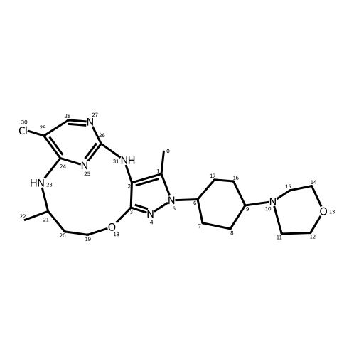 Cc1c2c(nn1C1CCC(N3CCOCC3)CC1)OCCC(C)Nc1nc(ncc1Cl)N2